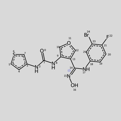 O=C(Nc1ccsc1)Nc1cocc1/C(=N/O)Nc1ccc(F)c(Br)c1